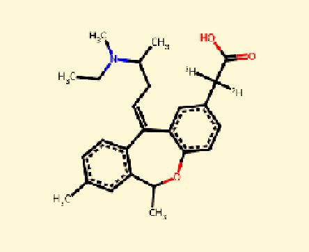 [2H]C([2H])(C(=O)O)c1ccc2c(c1)/C(=C\CC(C)N(C)CC)c1ccc(C)cc1C(C)O2